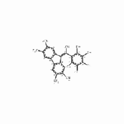 N#CC(=C1c2cc(C#N)c(C(F)(F)F)cc2-c2cc(C(F)(F)F)c(C#N)cc21)c1c(F)c(F)c(F)c(F)c1F